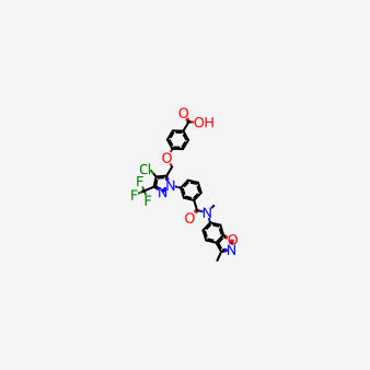 Cc1noc2cc(N(C)C(=O)c3cccc(-n4nc(C(F)(F)F)c(Cl)c4COc4ccc(C(=O)O)cc4)c3)ccc12